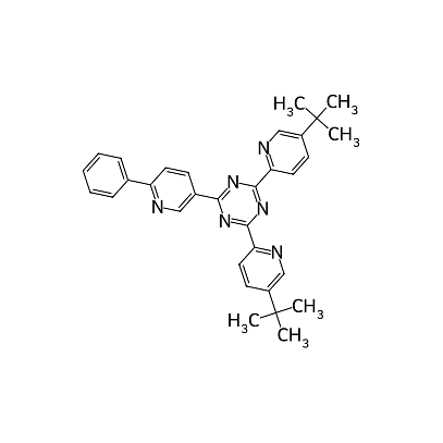 CC(C)(C)c1ccc(-c2nc(-c3ccc(-c4ccccc4)nc3)nc(-c3ccc(C(C)(C)C)cn3)n2)nc1